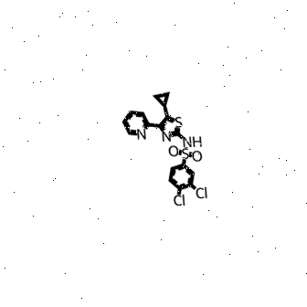 O=S(=O)(Nc1nc(-c2ccccn2)c(C2CC2)s1)c1ccc(Cl)c(Cl)c1